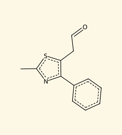 Cc1nc(-c2ccccc2)c(CC=O)s1